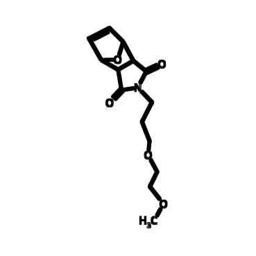 COCCOCCCN1C(=O)C2C3C=CC(O3)C2C1=O